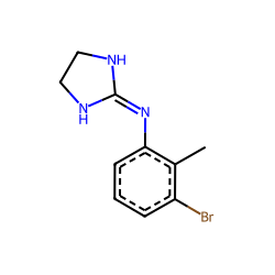 Cc1c(Br)cccc1N=C1NCCN1